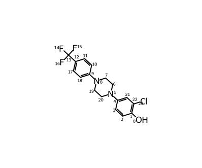 Oc1ccc(N2CCN(c3ccc(C(F)(F)F)cc3)CC2)cc1Cl